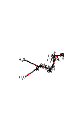 CCCCCCCCCCCCCCCCCC(=O)OCC(COP(=O)(O)OCCNC(=O)OCCNc1c(NCCNC(=O)CCCOc2cc(C)c(S(=O)(=O)CNC(NC(=O)CCCCc3ccc4c(n3)NCCC4)C(=O)OC)c(C)c2)c(=O)c1=O)OC(=O)CCCCCCCCCCCCCCCCC